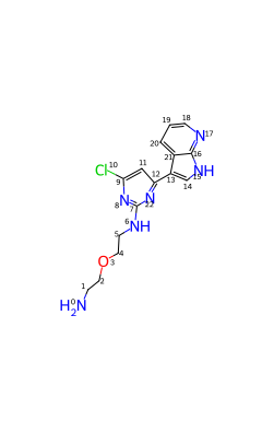 NCCOCCNc1nc(Cl)cc(-c2c[nH]c3ncccc23)n1